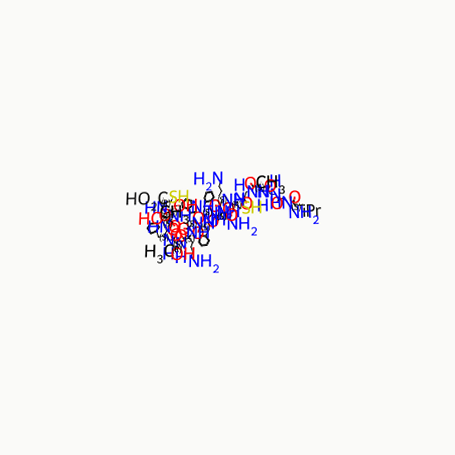 CC(C)C[C@H](N)C(=O)NCC(=O)NCC(=O)N[C@@H](C)C(=O)NCC(=O)N[C@@H](CS)C(=O)N[C@@H](CCCCN)C(=O)N[C@@H](CC(N)=O)C(=O)N[C@@H](Cc1ccccc1)C(=O)N[C@@H](Cc1ccccc1)C(=O)N[C@@H](Cc1c[nH]c2ccccc12)C(=O)N[C@@H](CCCCN)C(=O)N[C@H](C(=O)N[C@@H](Cc1ccccc1)C(=O)N[C@H](C(=O)N[C@@H](CO)C(=O)N[C@@H](CS)C(=O)O)[C@@H](C)O)[C@@H](C)O